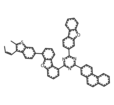 C/C=C\c1c(C)sc2cc(-c3cccc4c3oc3cccc(-c5nc(-c6ccc7c(ccc8ccccc87)c6)nc(-c6ccc7c(c6)oc6ccccc67)n5)c34)ccc12